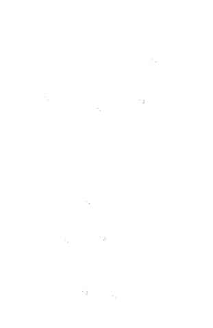 CN/C=C(\C=N)Nc1nccc(-c2ccc3c(c2)CCNCC3NC(=O)/C(N)=C/NC(C)(C)C)n1